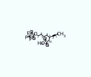 CC#CC(CCCCOS(=O)(=O)C(F)(F)F)CS(=O)(=O)O